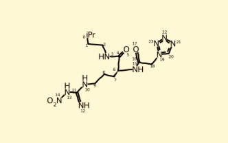 CC(C)C[CH]NC(=O)[C@H](CCCNC(=N)N[N+](=O)[O-])NC(=O)Cn1cnnn1